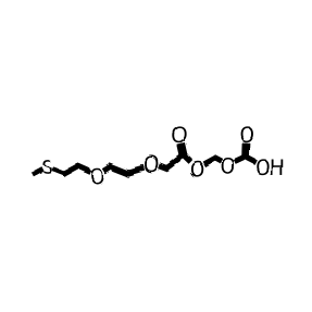 CSCCOCCOCC(=O)OCOC(=O)O